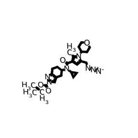 Cc1c(C(=O)N(C2CC2)C2CCc3nn(C(=O)OC(C)(C)C)cc3C2)cc(CN=[N+]=[N-])n1C1CCOCC1